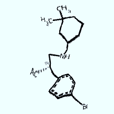 CC(=O)[C@H](CNC1CCCC(C)(C)C1)c1ccc(Br)cc1